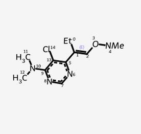 CC/C(=C\ONC)c1ncnc(N(C)C)c1Cl